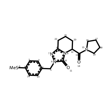 CSc1ccc(Cn2nc3n(c2=O)C(C(=O)N2CCCC2)CCC3)cc1